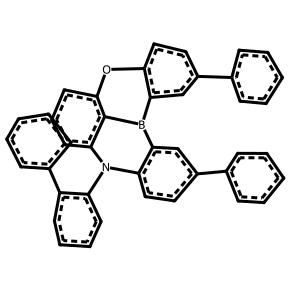 c1ccc(-c2ccc3c(c2)B2c4cc(-c5ccccc5)ccc4N(c4ccccc4-c4ccccc4)c4cccc(c42)O3)cc1